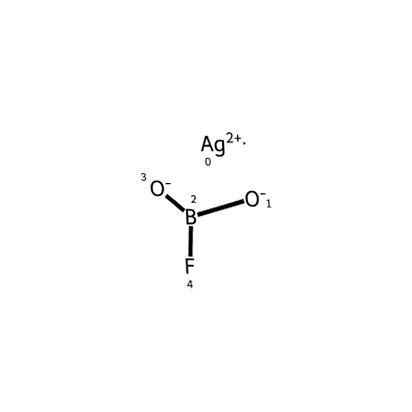 [Ag+2].[O-]B([O-])F